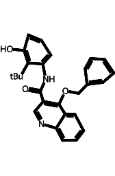 CC(C)(C)c1c(O)cccc1NC(=O)c1cnc2ccccc2c1OCc1ccccc1